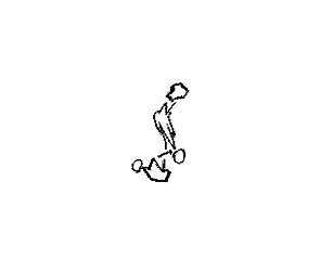 O=C(CN1CCCC1=O)N1CCN(c2ccccc2)CC1